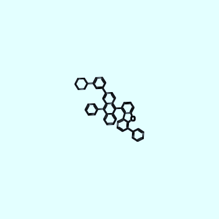 c1ccc(-c2c3ccccc3c(-c3cccc4oc5c(-c6ccccc6)cccc5c34)c3ccc(-c4cccc(C5CCCCC5)c4)cc23)cc1